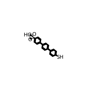 O=S(=O)(O)c1ccc(-c2ccc(-c3ccc(S)cc3)cc2)cc1